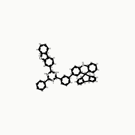 c1ccc(-c2nc(-c3cccc(-c4ccc5c(c4)C4(c6ccccc6S5)c5ccccc5-c5ccccc54)c3)nc(-c3ccc4c(c3)oc3ccccc34)n2)cc1